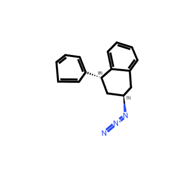 [N-]=[N+]=N[C@@H]1Cc2ccccc2[C@@H](c2ccccc2)C1